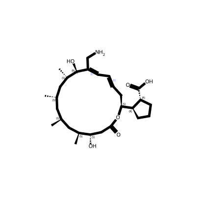 C[C@H]1C[C@H](C)C[C@H](C)[C@@H](O)/C(CN)=C/C=C/C[C@@H]([C@@H]2CCC[C@H]2C(=O)O)OC(=O)C[C@H](O)[C@@H](C)C1